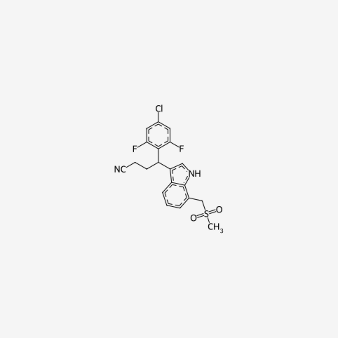 CS(=O)(=O)Cc1cccc2c(C(CCC#N)c3c(F)cc(Cl)cc3F)c[nH]c12